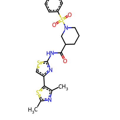 Cc1nc(C)c(-c2csc(NC(=O)C3CCCN(S(=O)(=O)c4ccccc4)C3)n2)s1